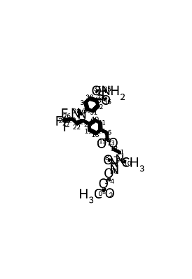 CC(=O)OCO/N=[N+](\[O-])N(C)CCOC(=O)Cc1ccc(-c2cc(C(F)(F)F)nn2-c2ccc(S(N)(=O)=O)cc2)cc1